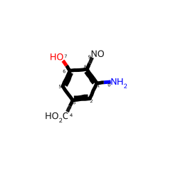 Nc1cc(C(=O)O)cc(O)c1N=O